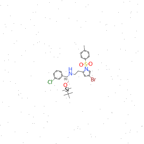 Cc1ccc(S(=O)(=O)n2cc(Br)cc2CCN[C@H](CO[Si](C)(C)C(C)(C)C)c2cccc(Cl)c2)cc1